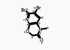 CN1C(=O)COc2nc(Br)c(Br)cc21